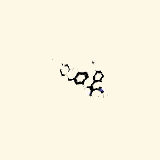 BN1CCN(Cc2cc(Nc3c(=C/C)/c(=C\C)nc4ccc(ON)cc34)ccc2O)CC1